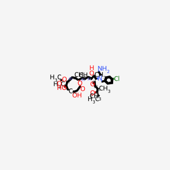 CC[C@H](OC)[C@@H](C)[C@H]1O[C@@H]1C(N(CCN)Cc1ccc(Cl)cc1)C(C)(O)/C=C/C=C(\C)C1OC(=O)C[C@H](O)CC[C@@](C)(O)[C@@H](OC(C)=O)/C=C/[C@@H]1C